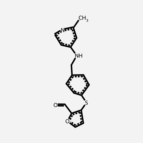 Cc1cc(NCc2ccc(Sc3ccoc3C=O)cc2)ccn1